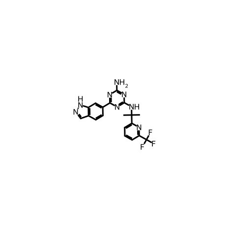 CC(C)(Nc1nc(N)nc(-c2ccc3cn[nH]c3c2)n1)c1cccc(C(F)(F)F)n1